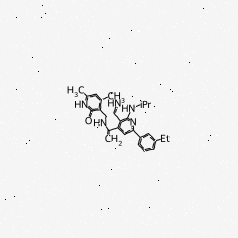 C=C(NCc1c(C)cc(C)[nH]c1=O)c1cc(-c2cccc(CC)c2)nc(NC(C)C)c1C=N